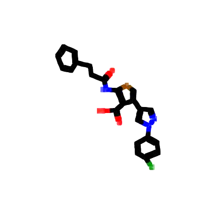 O=C(CCc1ccccc1)Nc1scc(-c2cnn(-c3ccc(Cl)cc3)c2)c1C(=O)O